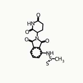 CS(=S)Nc1cccc2c1C(=O)N(C1CCC(=O)NC1=O)C2=O